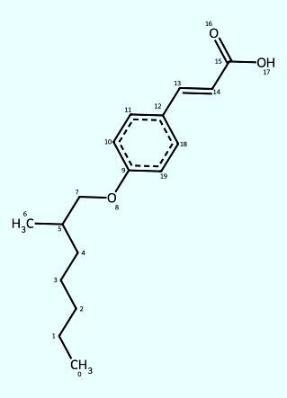 CCCCCC(C)COc1ccc(C=CC(=O)O)cc1